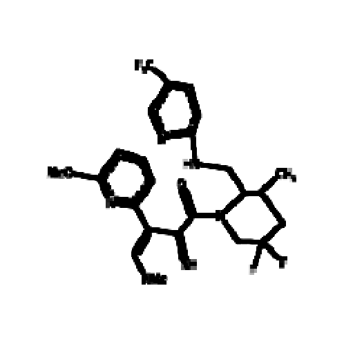 CN/C=C(\C(=N)C(=O)N1CC(F)(F)CC(C)C1CNc1ccc(C(F)(F)F)cn1)c1cccc(OC)n1